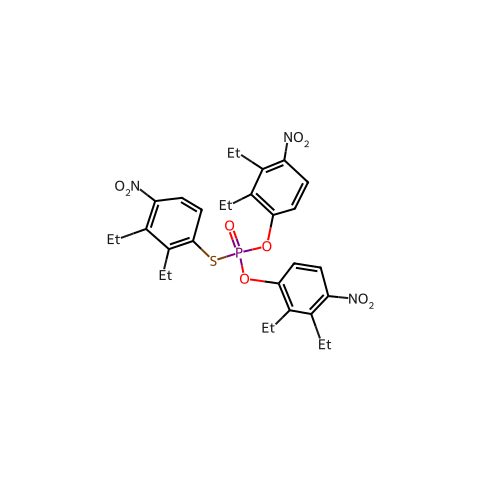 CCc1c(OP(=O)(Oc2ccc([N+](=O)[O-])c(CC)c2CC)Sc2ccc([N+](=O)[O-])c(CC)c2CC)ccc([N+](=O)[O-])c1CC